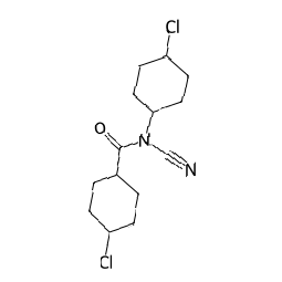 N#CN(C(=O)C1CCC(Cl)CC1)C1CCC(Cl)CC1